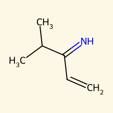 C=CC(=N)C(C)C